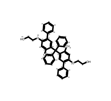 Cc1cc(OCCO)c(-c2ccccc2)cc1C(c1ccccc1)(c1ccccc1)c1cc(-c2ccccc2)c(OCCO)cc1C